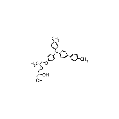 Cc1ccc(-c2ccc(N(c3ccc(C)cc3)c3ccc(OCC(C)OCC(O)CO)cc3)cc2)cc1